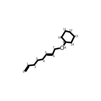 C=CCCC/C=C/COC1CCCCC1